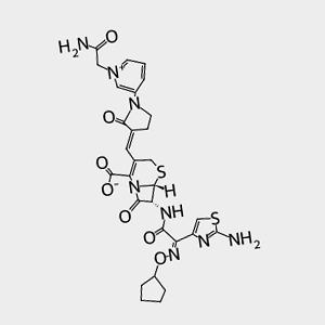 NC(=O)C[n+]1cccc(N2CC/C(=C\C3=C(C(=O)[O-])N4C(=O)[C@@H](NC(=O)/C(=N\OC5CCCC5)c5csc(N)n5)[C@H]4SC3)C2=O)c1